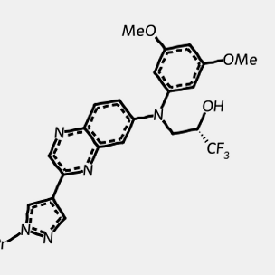 COc1cc(OC)cc(N(C[C@H](O)C(F)(F)F)c2ccc3ncc(-c4cnn(C(C)C)c4)nc3c2)c1